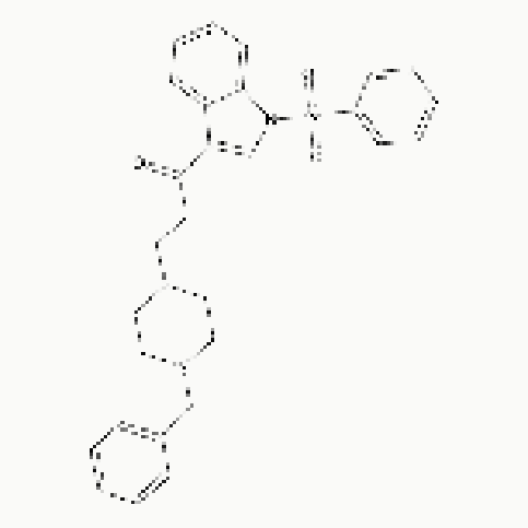 O=C(CCC1CCN(Cc2ccccc2)CC1)c1cn(S(=O)(=O)c2ccccc2)c2ccccc12